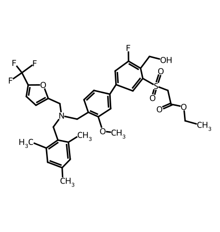 CCOC(=O)CS(=O)(=O)c1cc(-c2ccc(CN(Cc3ccc(C(F)(F)F)o3)Cc3c(C)cc(C)cc3C)c(OC)c2)cc(F)c1CO